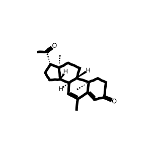 CC(=O)[C@H]1CC[C@H]2[C@@H]3C=C(C)C4=CC(=O)CC[C@]4(C)[C@H]3CC[C@]12C